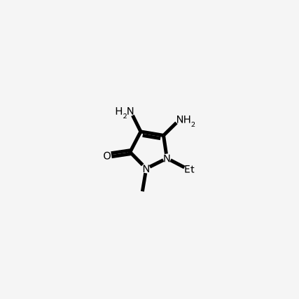 CCn1c(N)c(N)c(=O)n1C